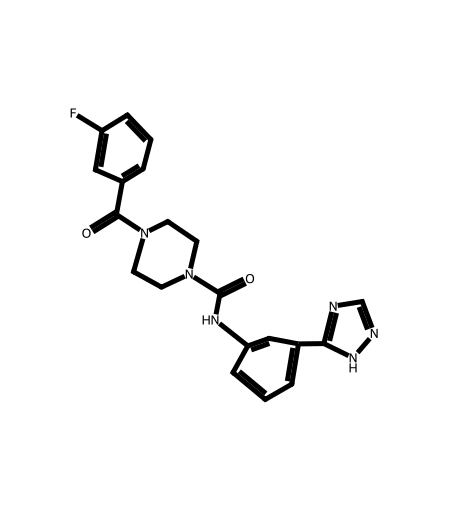 O=C(Nc1cccc(-c2ncn[nH]2)c1)N1CCN(C(=O)c2cccc(F)c2)CC1